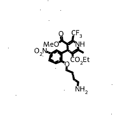 CCOC(=O)C1=C(C)NC(C(F)(F)F)=C(C(=O)OC)C1c1cc([N+](=O)[O-])ccc1OCCCCN